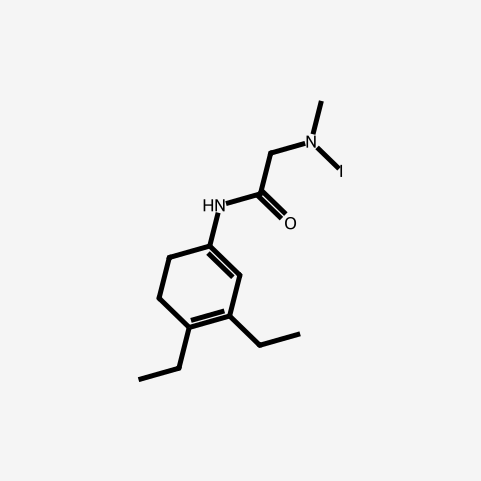 CCC1=C(CC)CCC(NC(=O)CN(C)I)=C1